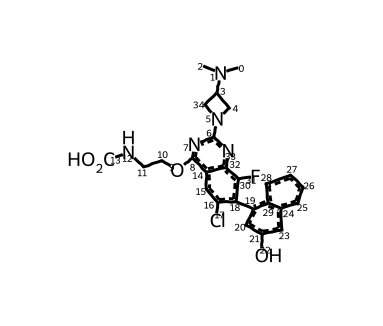 CN(C)C1CN(c2nc(OCCNC(=O)O)c3cc(Cl)c(-c4cc(O)cc5ccccc45)c(F)c3n2)C1